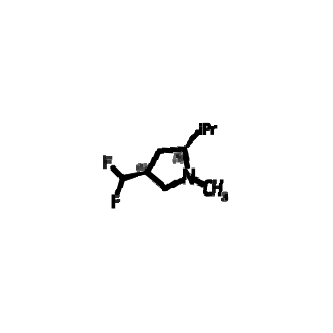 CC(C)[C@@H]1C[C@H](C(F)F)CN1C